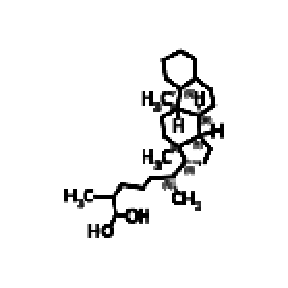 CC(CCC[C@@H](C)[C@H]1CC[C@H]2[C@@H]3CCC4CCCC[C@]4(C)[C@H]3CC[C@]12C)C(O)O